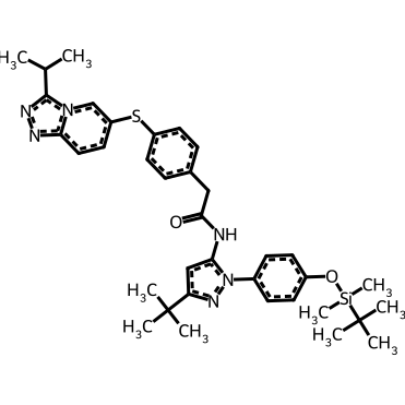 CC(C)c1nnc2ccc(Sc3ccc(CC(=O)Nc4cc(C(C)(C)C)nn4-c4ccc(O[Si](C)(C)C(C)(C)C)cc4)cc3)cn12